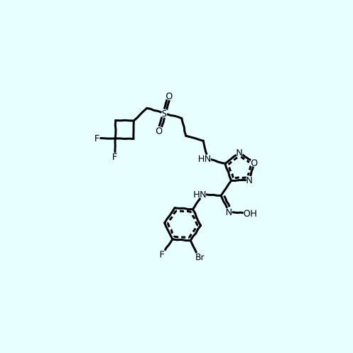 O=S(=O)(CCCNc1nonc1C(=NO)Nc1ccc(F)c(Br)c1)CC1CC(F)(F)C1